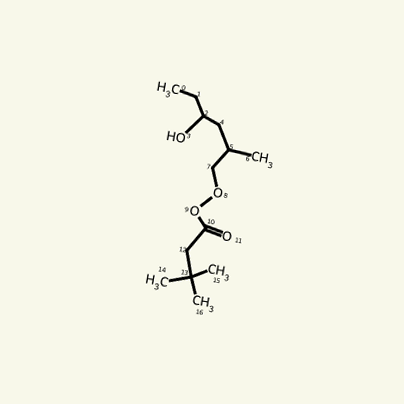 CCC(O)CC(C)COOC(=O)CC(C)(C)C